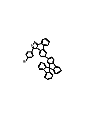 Brc1ccc(-c2nnc3c4ccccc4c4cc(-c5ccc6c(c5)C5(c7ccccc7-c7ccccc75)c5ccccc5-6)ccc4n23)cc1